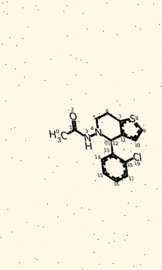 CC(=O)NN1CCc2sccc2[C@H]1c1ccccc1Cl